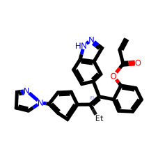 C=CC(=O)Oc1ccccc1/C(=C(\CC)c1ccc(-n2cccn2)cc1)c1ccc2[nH]ncc2c1